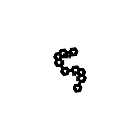 C1=CC(c2ccccc2)Nc2c1ccc1ccc(-c3cccc(-c4ccc5ccc6ccc(-c7ccccc7)nc6c5n4)c3)nc21